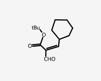 CC(C)(C)OC(=O)C(C=O)=CC1CCCCC1